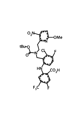 COc1ccc([N+](=O)[O-])c(CCN(Cc2c(Nc3cc(C(F)(F)F)c(F)cc3C(=O)O)ccc(F)c2Cl)C(=O)OC(C)(C)C)n1